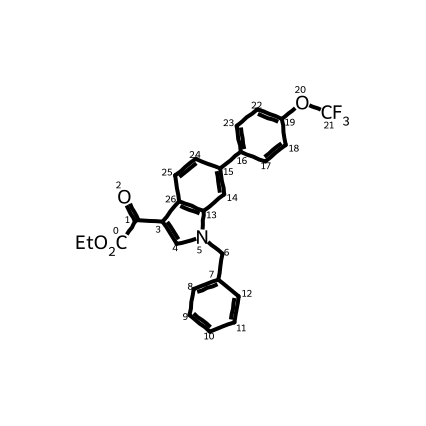 CCOC(=O)C(=O)c1cn(Cc2ccccc2)c2cc(-c3ccc(OC(F)(F)F)cc3)ccc12